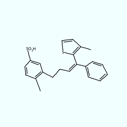 Cc1ccc(S(=O)(=O)O)cc1CCC=C(c1ccccc1)c1sccc1C